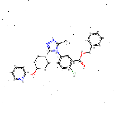 Cc1nnc([C@H]2CC[C@H](Oc3ccccn3)CC2)n1-c1ccc(Cl)c(C(=O)OCc2ccccc2)c1